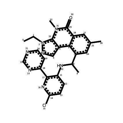 CCn1ncc2c3c(C(C)Nc4ccc(Cl)nc4-c4ccncn4)cc(C)cc3c(=O)n(C)c21